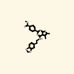 COC(=O)c1ccc(-c2nc(NCCc3ccc4c(c3)OCO4)c3c(C)c(C)sc3n2)cc1